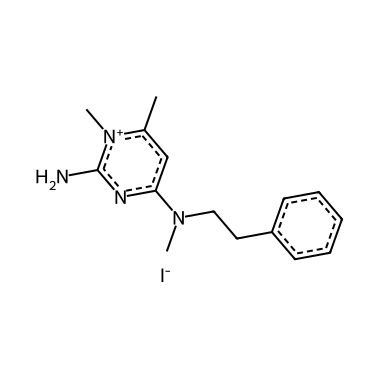 Cc1cc(N(C)CCc2ccccc2)nc(N)[n+]1C.[I-]